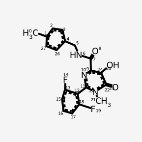 Cc1ccc(CNC(=O)c2nc(-c3c(F)cccc3F)n(C)c(=O)c2O)cc1